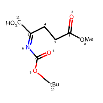 COC(=O)CC/C(=N\C(=O)OC(C)(C)C)C(=O)O